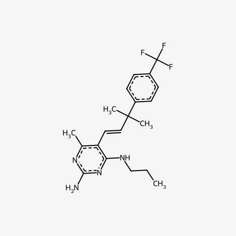 CCCNc1nc(N)nc(C)c1/C=C/C(C)(C)c1ccc(C(F)(F)F)cc1